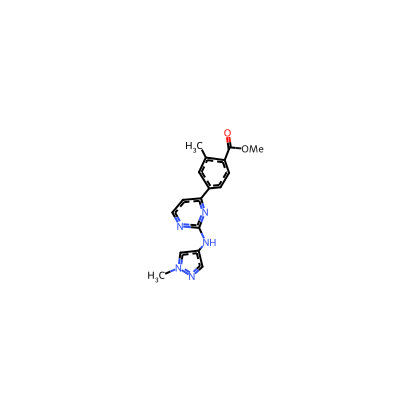 COC(=O)c1ccc(-c2ccnc(Nc3cnn(C)c3)n2)cc1C